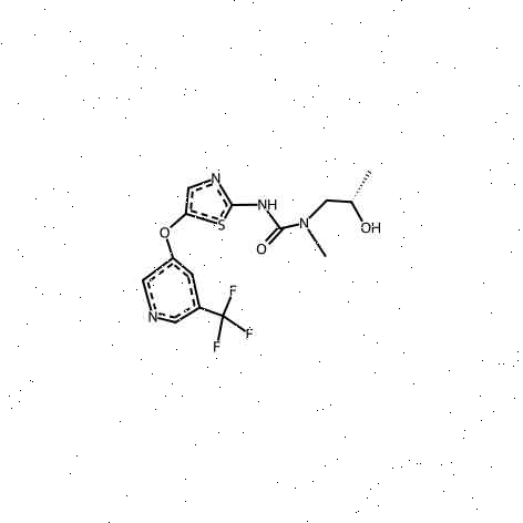 C[C@H](O)CN(C)C(=O)Nc1ncc(Oc2cncc(C(F)(F)F)c2)s1